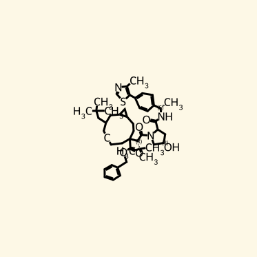 Cc1ncsc1-c1ccc([C@H](C)NC(=O)C2C[C@@H](O)CN2C(=O)[C@H](C(C)(C)C)C2(C(=O)OCc3ccccc3)CCCCC(CC(C)(C)C)CC3CC3CC2)cc1